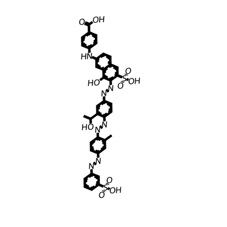 Cc1cc(N=Nc2cccc(S(=O)(=O)O)c2)ccc1N=Nc1ccc(N=Nc2c(S(=O)(=O)O)cc3ccc(Nc4ccc(C(=O)O)cc4)cc3c2O)cc1C(C)O